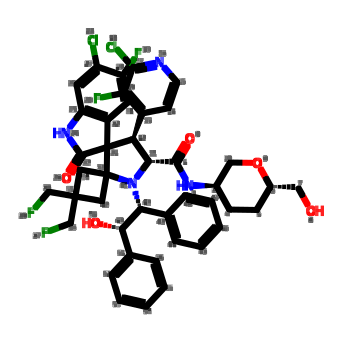 O=C(N[C@@H]1CC[C@@H](CO)OC1)[C@H]1[C@H](c2ccnc(Cl)c2F)C2(C(=O)Nc3cc(Cl)c(F)cc32)C2(CC(CF)(CF)C2)N1[C@H](c1ccccc1)[C@@H](O)c1ccccc1